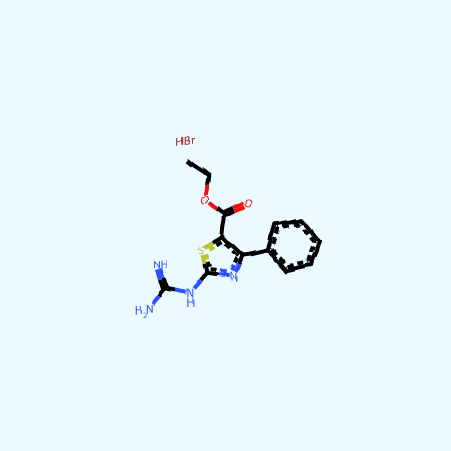 Br.CCOC(=O)c1sc(NC(=N)N)nc1-c1ccccc1